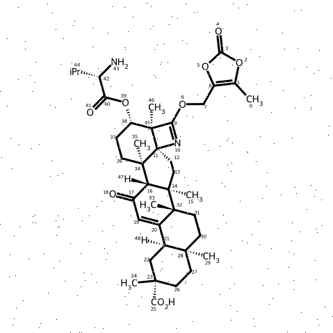 Cc1oc(=O)oc1COC1=N[C@@]23CC[C@]4(C)[C@H](C(=O)C=C5[C@@H]6C[C@@](C)(C(=O)O)CC[C@]6(C)CC[C@]54C)[C@@]2(C)CC[C@H](OC(=O)[C@@H](N)C(C)C)[C@@]13C